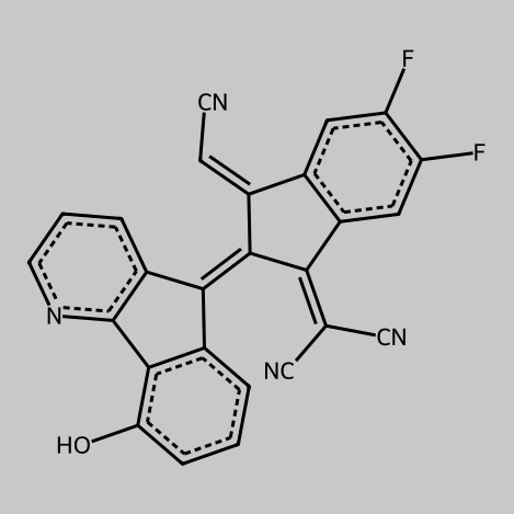 N#C/C=C1/C(=C2\c3cccnc3-c3c(O)cccc32)C(=C(C#N)C#N)c2cc(F)c(F)cc21